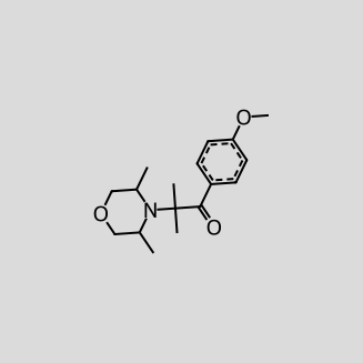 COc1ccc(C(=O)C(C)(C)N2C(C)COCC2C)cc1